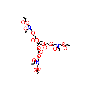 C=CC(=O)OCCN(CCOCCC(=O)OCC(CC)(COCC(=O)COCCN(CCOC(=O)C=C)C(=O)C=C)COC(=O)CCOCCN(CCOC(=O)C=C)C(=O)C=C)C(=O)C=C